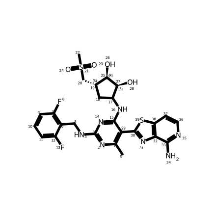 Cc1nc(NCc2c(F)cccc2F)nc(NC2C[C@H](CS(C)(=O)=O)[C@@H](O)[C@H]2O)c1-c1nc2c(N)nccc2s1